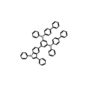 c1ccc(-c2ccc(N(c3ccccc3)c3cc(-c4ccc5c(c4)c(-c4ccccc4)cn5-c4ccccc4)cc(N(c4ccccc4)c4ccc(-c5ccccc5)cc4)c3)cc2)cc1